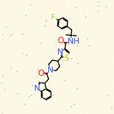 CC(C)(Cc1ccc(F)cc1)NC(=O)c1csc(C2CCN(C(=O)CC3C=Nc4ccccc43)CC2)n1